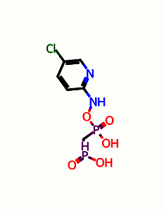 O=[PH](O)CP(=O)(O)ONc1ccc(Cl)cn1